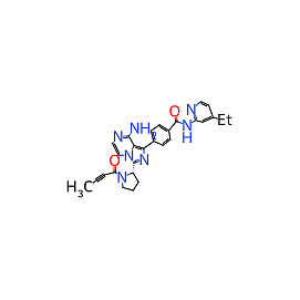 CC#CC(=O)N1CCC[C@H]1c1nc(-c2ccc(C(=O)Nc3cc(CC)ccn3)cc2)c2c(N)nccn12